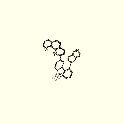 CCCC1C=CC(c2ccc3ccc4cccnc4c3n2)=CC1c1c(C)cccc1-c1ccc2cnccc2c1